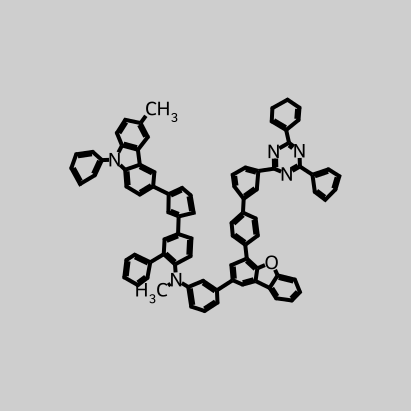 Cc1ccc2c(c1)c1cc(-c3cccc(-c4ccc(N(C)c5cccc(-c6cc(-c7ccc(-c8cccc(-c9nc(C%10=CCCC=C%10)nc(-c%10ccccc%10)n9)c8)cc7)c7oc8ccccc8c7c6)c5)c(-c5ccccc5)c4)c3)ccc1n2-c1ccccc1